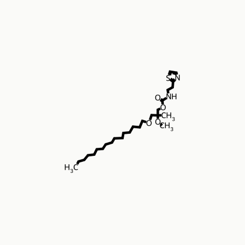 CCCCCCCCCCCCCCCCOCC(C)(COC(=O)NCCc1nccs1)OC